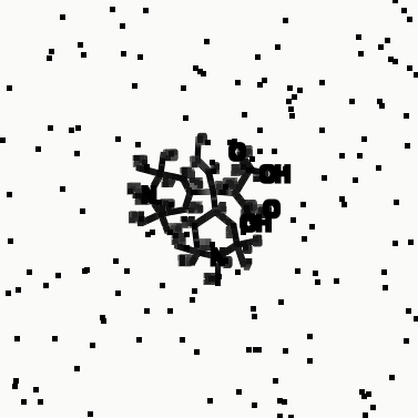 CCCC(C1CC(C)(C)N(C)C(C)(C)C1)(C1CC(C)(C)N(C)C(C)(C)C1)C(C(=O)O)C(=O)O